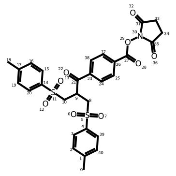 Cc1ccc(S(=O)(=O)CC(CS(=O)(=O)c2ccc(C)cc2)C(=O)c2ccc(C(=O)ON3C(=O)CCC3=O)cc2)cc1